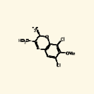 COc1c(Cl)cc2c(c1Cl)O[C@H](C(F)(F)F)C(C(=O)O)=C2